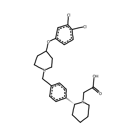 O=C(O)CN1CCCC[C@@H]1c1ccc(CN2CCC(Oc3ccc(Cl)c(Cl)c3)CC2)cc1